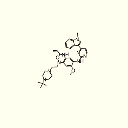 C=CC(=O)Nc1cc(Nc2nccc(-c3cn(C)c4ccccc34)n2)c(OC)cc1N(C)CCN1CCN(C(C)(C)C)CC1